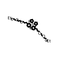 CCOCCOCCOCCCc1ccc(F)[c]([Ti]([C]2=CC=CC2)([C]2=CC=CC2)[c]2c(F)ccc(CCCOCCOCCOCC)c2F)c1F